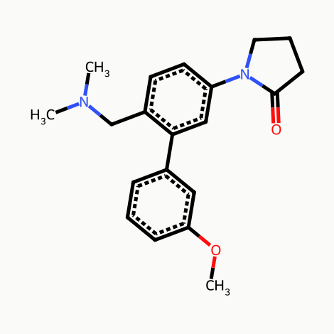 COc1cccc(-c2cc(N3CCCC3=O)ccc2CN(C)C)c1